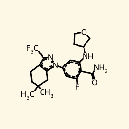 CC1(C)CCc2c(C(F)(F)F)nn(-c3cc(F)c(C(N)=O)c(N[C@H]4CCOC4)c3)c2C1